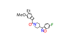 CCc1cc2c(cc1OC)C(C(=O)N1CCC(c3noc4cc(F)ccc34)CC1)=C2